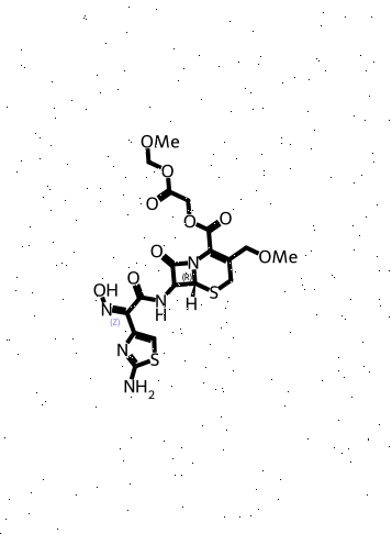 COCOC(=O)COC(=O)C1=C(COC)CS[C@@H]2C(NC(=O)/C(=N\O)c3csc(N)n3)C(=O)N12